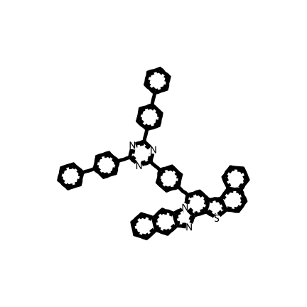 c1ccc(-c2ccc(-c3nc(-c4ccc(-c5ccccc5)cc4)nc(-c4ccc(-c5cc6c(sc7ccc8ccccc8c76)c6nc7cc8ccccc8cc7n56)cc4)n3)cc2)cc1